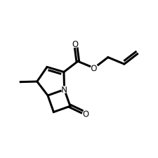 C=CCOC(=O)C1=CC(C)C2CC(=O)N12